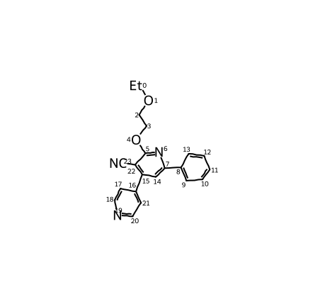 CCOCCOc1nc(-c2ccccc2)cc(-c2ccncc2)c1C#N